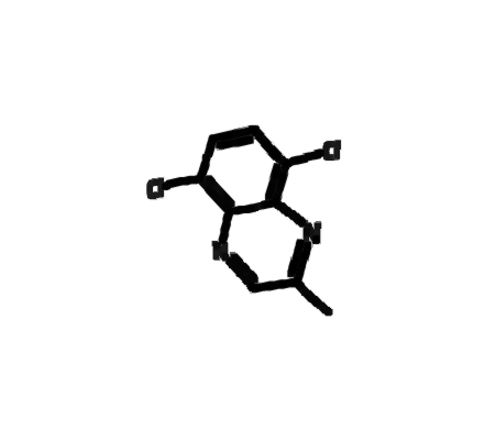 Cc1cnc2c(Cl)ccc(Cl)c2n1